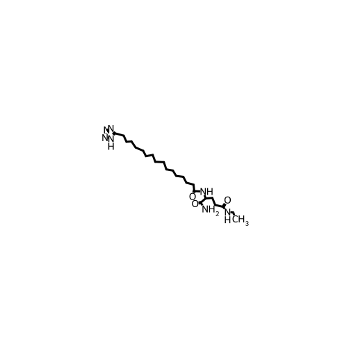 CCNC(=O)CCC(NC(=O)CCCCCCCCCCCCCCCc1nnn[nH]1)C(N)=O